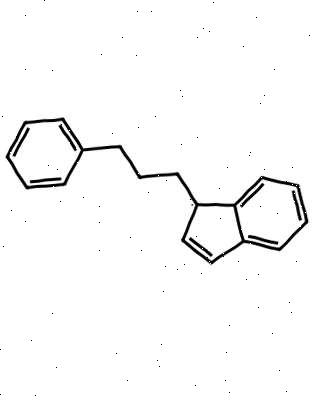 C1=Cc2ccccc2[C]1CCCc1ccccc1